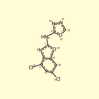 Clc1cc(Cl)c2nc(Nc3nnco3)oc2c1